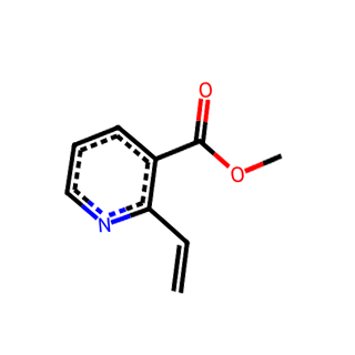 C=Cc1ncccc1C(=O)OC